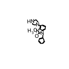 Cn1c(=O)n(Cc2ccccc2)c2cccc(N3CCNCC3)c21